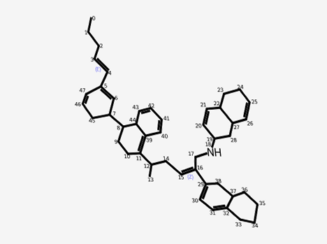 CCC/C=C/C1=CC(C2CCC(C(C)C/C=C(\CNC3C=CC4CCC=CC4C3)C3=CC=C4CCCCC4C3)=C3C=CC=CC32)CC=C1